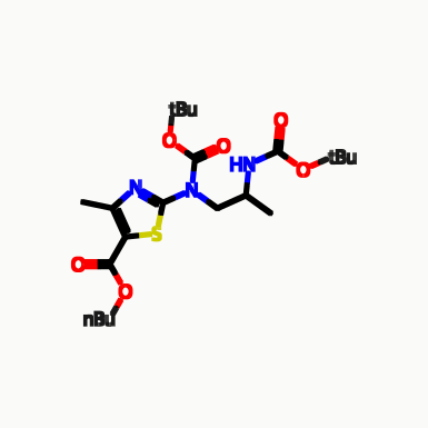 CCCCOC(=O)c1sc(N(CC(C)NC(=O)OC(C)(C)C)C(=O)OC(C)(C)C)nc1C